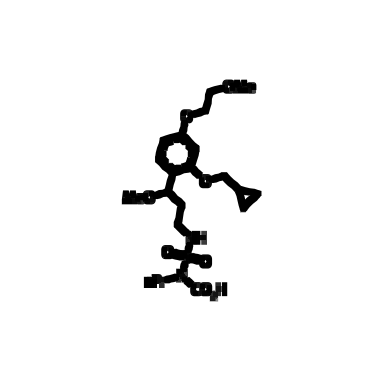 CCCN(C(=O)O)S(=O)(=O)NCCC(OC)c1ccc(OCCOC)cc1OCC1CC1